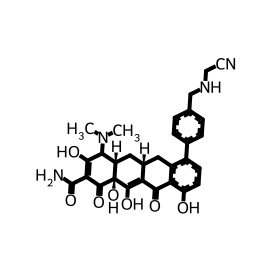 CN(C)C1C(O)=C(C(N)=O)C(=O)[C@@]2(O)C(O)=C3C(=O)c4c(O)ccc(-c5ccc(CNCC#N)cc5)c4C[C@H]3C[C@@H]12